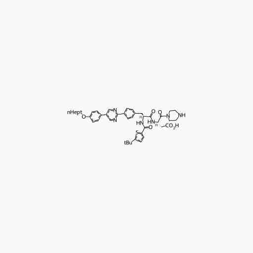 CCCCCCCOc1ccc(-c2cnc(-c3ccc(C[C@H](NC(=O)c4ccc(C(C)(C)C)s4)C(=O)N[C@@H](CC(=O)O)C(=O)N4CCNCC4)cc3)nc2)cc1